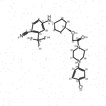 N#Cc1ccc(N[C@H]2CC[C@H](OCC(=O)N3CCN(c4ccc(Cl)cc4)CC3)CC2)cc1C(F)(F)F